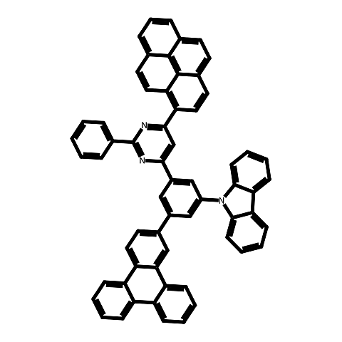 c1ccc(-c2nc(-c3cc(-c4ccc5c6ccccc6c6ccccc6c5c4)cc(-n4c5ccccc5c5ccccc54)c3)cc(-c3ccc4ccc5cccc6ccc3c4c56)n2)cc1